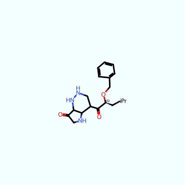 CC(C)C[C@H](OCc1ccccc1)C(=O)C1CNNC2C(=O)CNC12